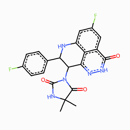 CC1(C)NC(=O)N(C2c3n[nH]c(=O)c4cc(F)cc(c34)NC2c2ccc(F)cc2)C1=O